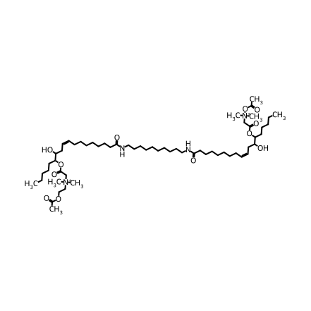 CCCCCC(OC(=O)C[N+](C)(C)CCOC(C)=O)C(O)C/C=C\CCCCCCCC(=O)NCCCCCCCCCCNC(=O)CCCCCCC/C=C\CC(O)C(CCCCC)OC(=O)C[N+](C)(C)OC(C)=O